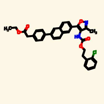 CCOC(=O)Cc1ccc(-c2ccc3cc(-c4onc(C)c4NC(=O)OCCc4ccccc4Cl)ccc3c2)cc1